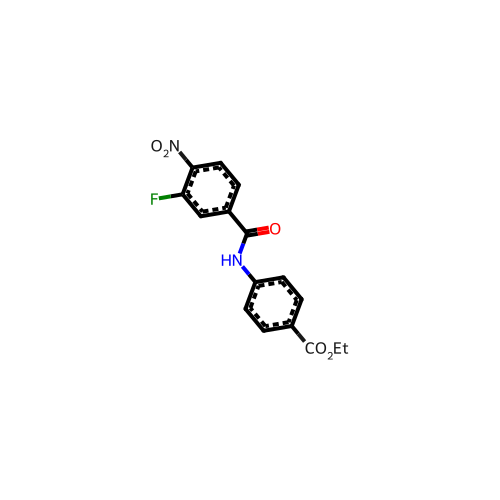 CCOC(=O)c1ccc(NC(=O)c2ccc([N+](=O)[O-])c(F)c2)cc1